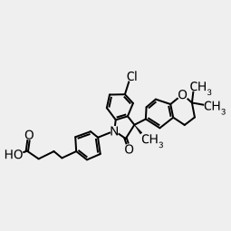 CC1(C)CCc2cc([C@]3(C)C(=O)N(c4ccc(CCCC(=O)O)cc4)c4ccc(Cl)cc43)ccc2O1